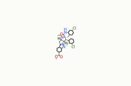 CCN1[C@H]2Cc3c4ccc(C(=O)OC)cc4nn3[C@H]2[C@H](c2cccc(Cl)c2F)[C@@]12Cc1ccc(Cl)cc1NC2=O